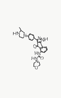 CC1CN(c2ccc(-c3n[nH]c4c3C(=O)c3c(NC(=O)NN5CCOCC5)cccc3-4)cc2)CCN1